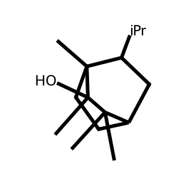 CC(C)C1CC2CCC1(C)C(C)(O)C2(C)C